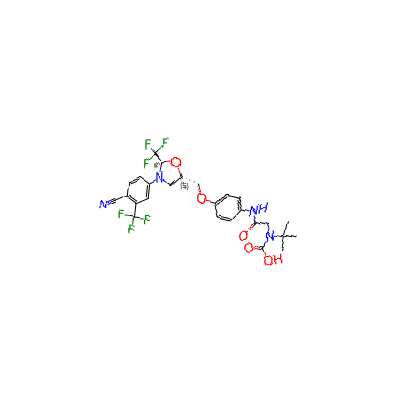 CC(C)(C)N(CC(=O)Nc1ccc(OC[C@@H]2CN(c3ccc(C#N)c(C(F)(F)F)c3)[C@@H](C(F)(F)F)O2)cc1)C(=O)O